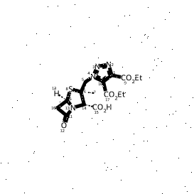 CCOC(=O)c1nnn(C[C@]2(C)S[C@@H]3CC(=O)N3[C@H]2C(=O)O)c1C(=O)OCC